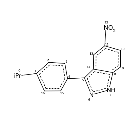 CC(C)c1ccc(-c2n[nH]c3ccc([N+](=O)[O-])cc23)cc1